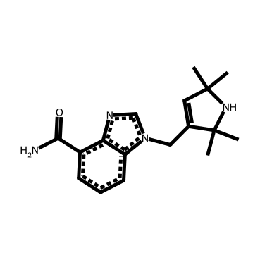 CC1(C)C=C(Cn2cnc3c(C(N)=O)cccc32)C(C)(C)N1